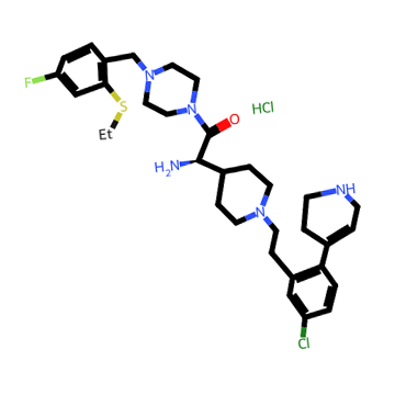 CCSc1cc(F)ccc1CN1CCN(C(=O)[C@H](N)C2CCN(CCc3cc(Cl)ccc3C3=CCNCC3)CC2)CC1.Cl